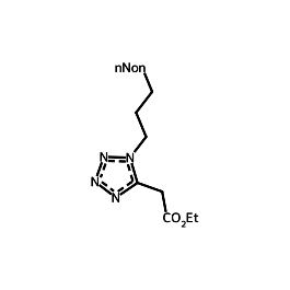 CCCCCCCCCCCCn1nnnc1CC(=O)OCC